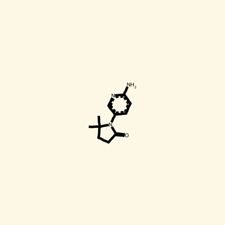 CC1(C)CCC(=O)N1c1ccc(N)nc1